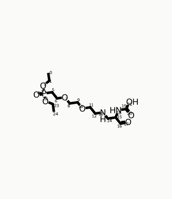 CCOP(=O)(CCOCCOCCNCC(C=O)NC(=O)O)OCC